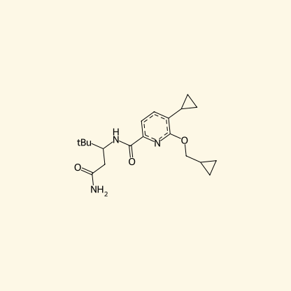 CC(C)(C)C(CC(N)=O)NC(=O)c1ccc(C2CC2)c(OCC2CC2)n1